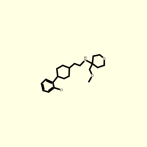 COCC1(NCCC2CCC(c3ccccc3Cl)CC2)CCOCC1